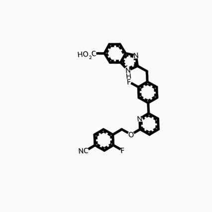 N#Cc1ccc(COc2cccc(-c3ccc(Cc4nc5ccc(C(=O)O)cc5[nH]4)c(F)c3)n2)c(F)c1